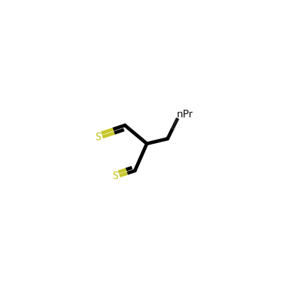 [CH2]CCCC(C=S)C=S